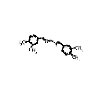 Cc1ccc(C=NCN=Cc2ccc(C)c(C)c2)cc1C